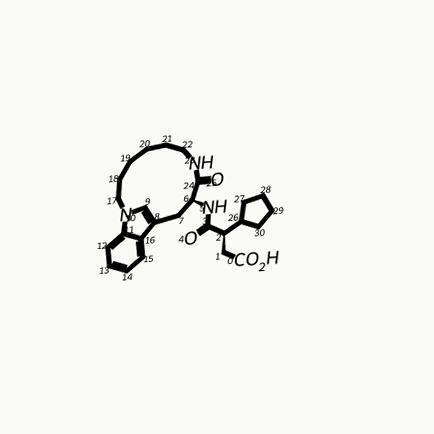 O=C(O)C[C@@H](C(=O)N[C@H]1Cc2cn(c3ccccc23)CCCCCCNC1=O)C1CCCC1